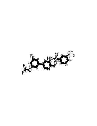 O=S(=O)(Nc1cc(-c2cc(F)cc(OC(F)F)c2)cnc1F)c1cccc(C(F)(F)F)c1